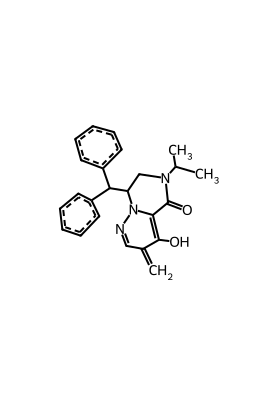 C=C1C=NN2C(=C1O)C(=O)N(C(C)C)CC2C(c1ccccc1)c1ccccc1